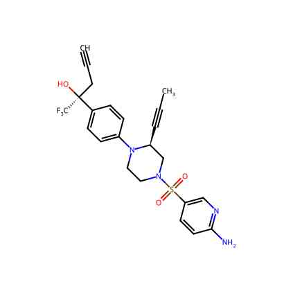 C#CC[C@](O)(c1ccc(N2CCN(S(=O)(=O)c3ccc(N)nc3)C[C@@H]2C#CC)cc1)C(F)(F)F